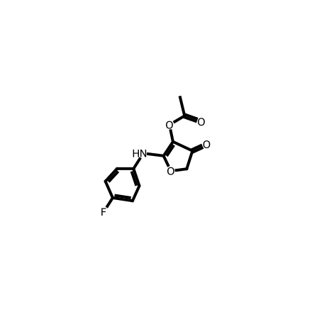 CC(=O)OC1=C(Nc2ccc(F)cc2)OCC1=O